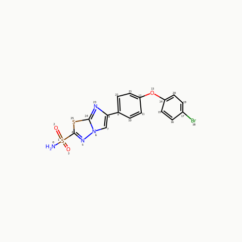 NS(=O)(=O)c1nn2cc(-c3ccc(Oc4ccc(Br)cc4)cc3)nc2s1